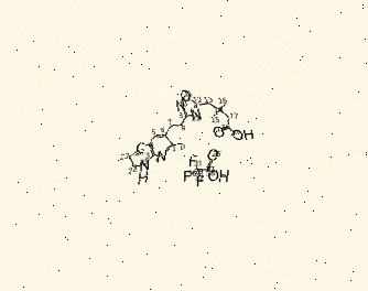 Cc1nc2c(cc1CCc1noc(CC(C)(C)CC(=O)O)n1)CCCN2.O=C(O)C(F)(F)F